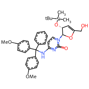 COc1ccc(C(Nc2ccn([C@@H]3OC(CO)=C[C@H]3O[Si](C)(C)C(C)(C)C)c(=O)n2)(c2ccccc2)c2ccc(OC)cc2)cc1